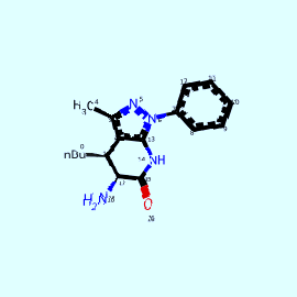 CCCC[C@H]1c2c(C)nn(-c3ccccc3)c2NC(=O)[C@H]1N